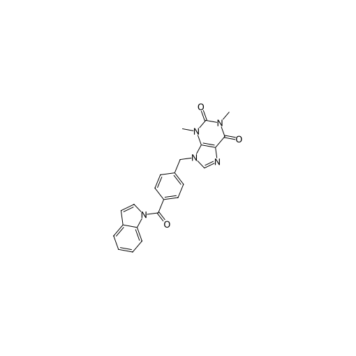 Cn1c(=O)c2ncn(Cc3ccc(C(=O)n4ccc5ccccc54)cc3)c2n(C)c1=O